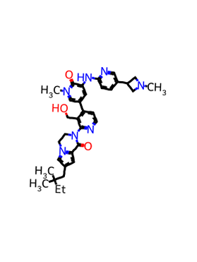 CCC(C)(C)Cc1cc2n(c1)CCN(c1nccc(-c3cc(Nc4ccc(C5CN(C)C5)cn4)c(=O)n(C)c3)c1CO)C2=O